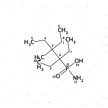 CCC(C)(CC)C(CC)(CC)P(N)(=O)O